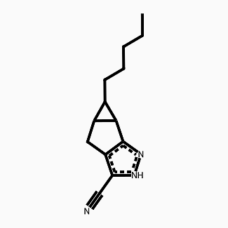 CCCCCC1C2Cc3c(n[nH]c3C#N)C12